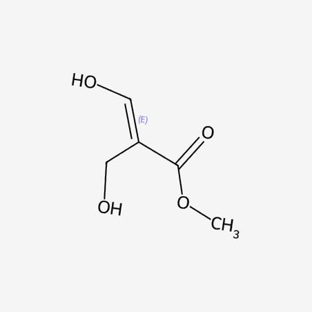 COC(=O)/C(=C/O)CO